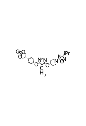 Cc1c(Oc2ccc([C@H]3CO[S@](=O)OC3)cc2)ncnc1OC1CCN(c2nc(C(C)C)no2)CC1